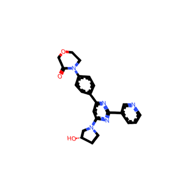 O=C1COCCN1c1ccc(-c2cc(N3CC[C@H](O)C3)nc(-c3cccnc3)n2)cc1